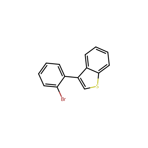 Brc1ccccc1-c1csc2ccccc12